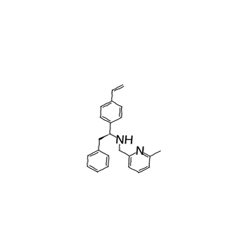 C=Cc1ccc([C@H](Cc2ccccc2)NCc2cccc(C)n2)cc1